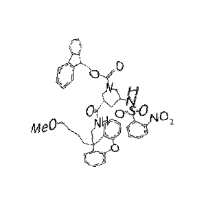 COCCCCC1(CNC(=O)C2CC(NS(=O)(=O)c3ccccc3[N+](=O)[O-])CN(C(=O)OCC3c4ccccc4-c4ccccc43)C2)c2ccccc2Oc2ccccc21